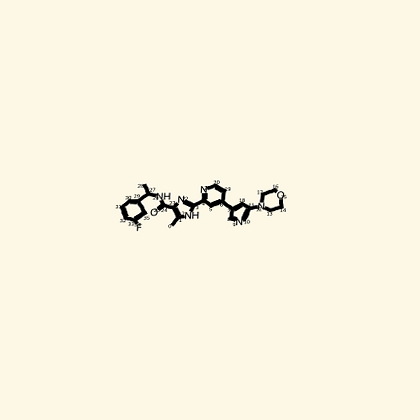 Cc1[nH]c(-c2cc(-c3cncc(N4CCOCC4)c3)ccn2)nc1C(=O)NC(C)c1cccc(F)c1